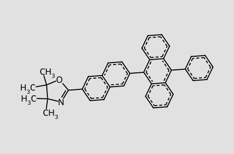 CC1(C)N=C(c2ccc3cc(-c4c5ccccc5c(-c5ccccc5)c5ccccc45)ccc3c2)OC1(C)C